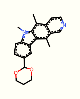 Cc1c2cnccc2c(C)c2c1c1cc(C3OCCCO3)ccc1n2C